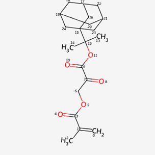 C=C(C)C(=O)OCC(=O)C(=O)OC(C)(C)C12CC3CC(CC(C3)C1)C2